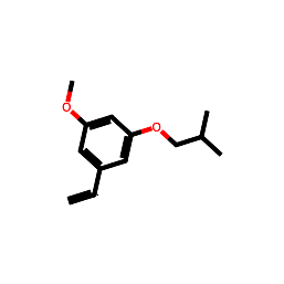 C=[C]c1cc(OC)cc(OCC(C)C)c1